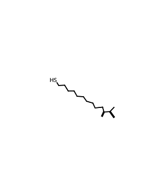 C=C(C)C(=C)CCCCCCCCCCS